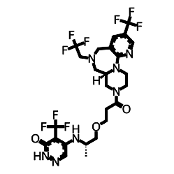 C[C@@H](COCCC(=O)N1CCN2c3ncc(C(F)(F)F)cc3CN(CC(F)(F)F)C[C@H]2C1)Nc1cn[nH]c(=O)c1C(F)(F)F